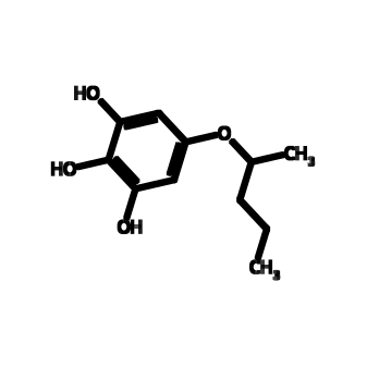 CCCC(C)Oc1cc(O)c(O)c(O)c1